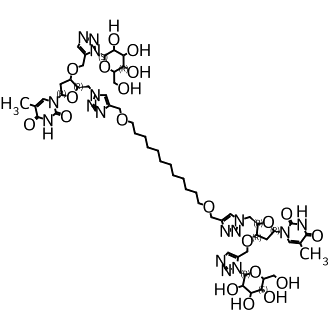 Cc1cn([C@H]2CC(OCc3cnnn3[C@H]3OC(CO)[C@H](O)C(O)C3O)[C@@H](Cn3cc(COCCCCCCCCCCCCOCc4cn(C[C@H]5O[C@@H](n6cc(C)c(=O)[nH]c6=O)C[C@H]5OCc5cnnn5[C@@H]5OC(CO)[C@@H](O)C(O)C5O)nn4)nn3)O2)c(=O)[nH]c1=O